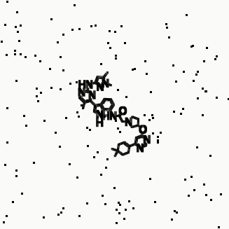 Cc1cnc(Nc2cc(C)n(C)n2)nc1-c1c[nH]c2c(NC(=O)CN3CCC(Oc4cc(C5=CCC(C)(C)CC5)ncn4)C3)cccc12